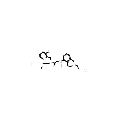 COCCN1CCc2c(cccc2NCC(=O)N(CCN(C)C)Cc2ncccc2C(F)(F)F)C1